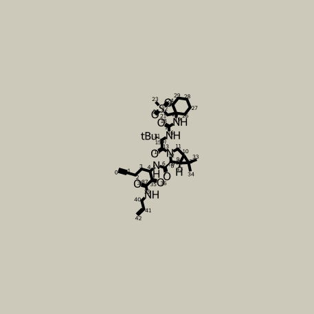 C#CCCC(NC(=O)[C@@H]1[C@@H]2C(CN1C(=O)[C@@H](NC(=O)NC1(CS(C)(=O)=O)CCCCC1)C(C)(C)C)C2(C)C)C(=O)C(=O)NCC=C